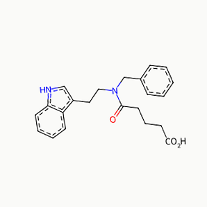 O=C(O)CCCC(=O)N(CCc1c[nH]c2ccccc12)Cc1ccccc1